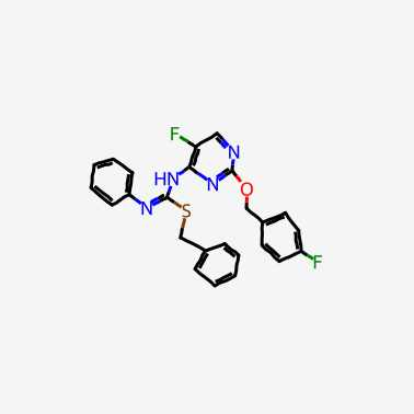 Fc1ccc(COc2ncc(F)c(N/C(=N\c3ccccc3)SCc3ccccc3)n2)cc1